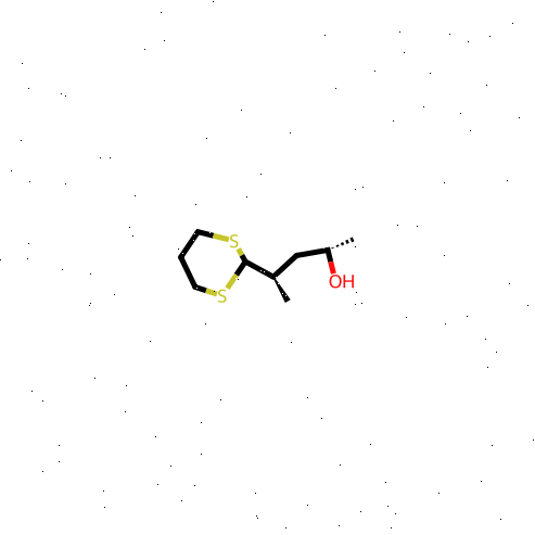 C[C@H](O)C[C@@H](C)C1SCCCS1